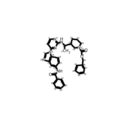 CC(Nc1nccc(-n2cnc3cc(NC(=O)c4ccccc4)ccc32)n1)C1CCCN(C(=O)OCc2ccccc2)C1